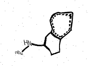 CCCCNC1CCc2ccccc21